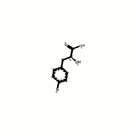 O=C(O)[C@@H](O)Cc1ccc(Br)cc1